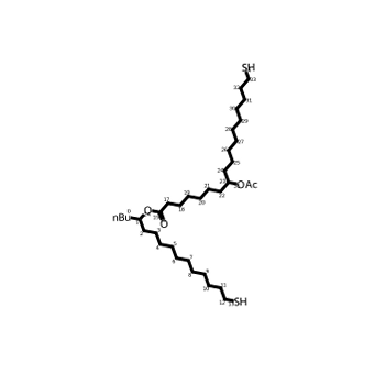 CCCCC(CCCCCCCCCCCS)OC(=O)CCCCCCC(CCCCCCCCCCS)OC(C)=O